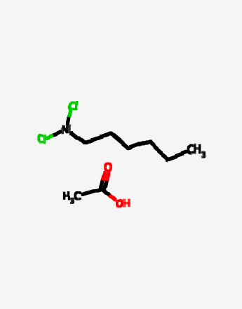 CC(=O)O.CCCCC[CH2][Ni]([Cl])[Cl]